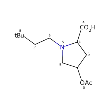 CC(=O)OC1CC(C(=O)O)N(CCC(C)(C)C)C1